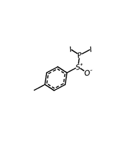 Cc1ccc([S+]([O-])P(I)I)cc1